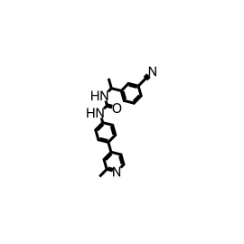 Cc1cc(-c2ccc(NC(=O)NC(C)c3cccc(C#N)c3)cc2)ccn1